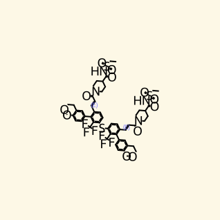 CCS(=O)(=O)NC(=O)C1CCN(C(=O)/C=C/c2ccc(Sc3ccc(/C=C/C(=O)N4CCC(C(=O)NS(=O)(=O)CC)CC4)c(-c4ccc5c(c4)CCOO5)c3C(F)(F)F)c(C(F)(F)F)c2-c2ccc3c(c2)CCOO3)CC1